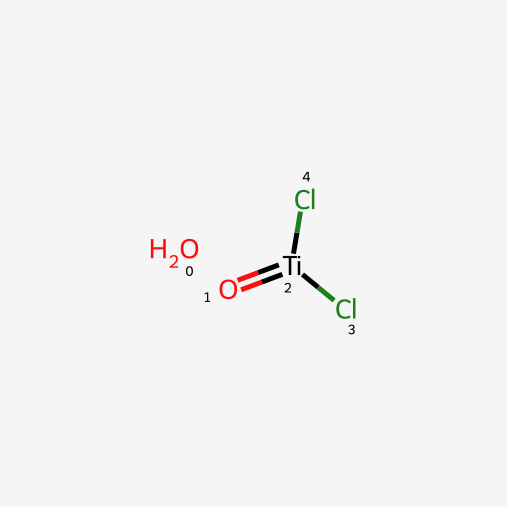 O.[O]=[Ti]([Cl])[Cl]